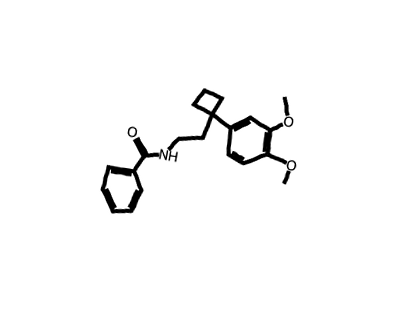 COc1ccc(C2(CCNC(=O)c3ccccc3)CCC2)cc1OC